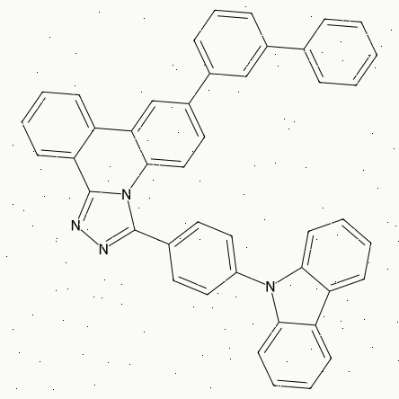 c1ccc(-c2cccc(-c3ccc4c(c3)c3ccccc3c3nnc(-c5ccc(-n6c7ccccc7c7ccccc76)cc5)n43)c2)cc1